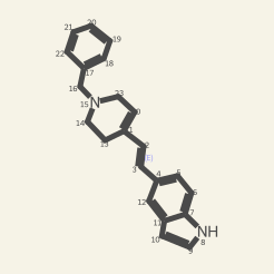 C1=C(/C=C/c2ccc3[nH]ccc3c2)CCN(Cc2ccccc2)C1